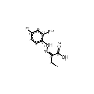 CC/C(=N/Nc1ccc(F)cc1F)C(=O)O